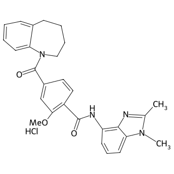 COc1cc(C(=O)N2CCCCc3ccccc32)ccc1C(=O)Nc1cccc2c1nc(C)n2C.Cl